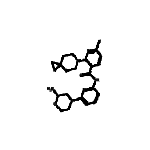 CC1CN(c2cccc(NC(=O)c3ccc(Cl)nc3N3CCC4(CC3)CC4)n2)CCO1